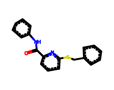 O=C(Nc1ccccc1)c1cccc(SCc2ccccc2)n1